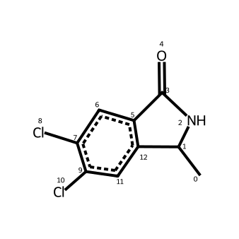 CC1NC(=O)c2cc(Cl)c(Cl)cc21